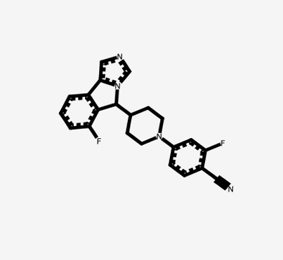 N#Cc1ccc(N2CCC(C3c4c(F)cccc4-c4cncn43)CC2)cc1F